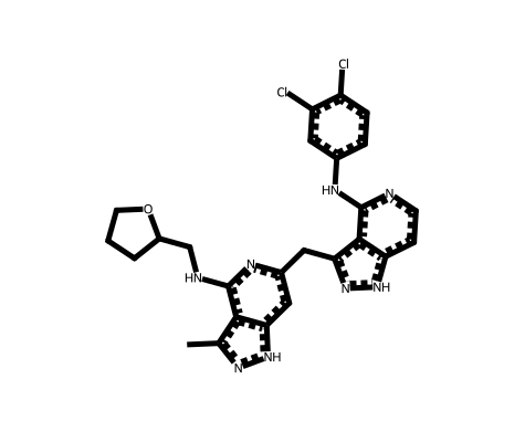 Cc1n[nH]c2cc(Cc3n[nH]c4ccnc(Nc5ccc(Cl)c(Cl)c5)c34)nc(NCC3CCCO3)c12